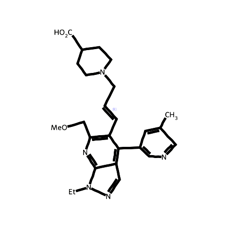 CCn1ncc2c(-c3cncc(C)c3)c(/C=C/CN3CCC(C(=O)O)CC3)c(COC)nc21